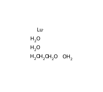 O.O.O.O.O.O.[Lu]